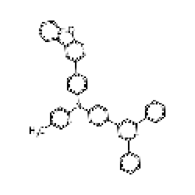 Cc1ccc(N(c2ccc(-c3cc(-c4ccccc4)cc(-c4ccccc4)c3)cc2)c2ccc(-c3ccc4oc5ccccc5c4c3)cc2)cc1